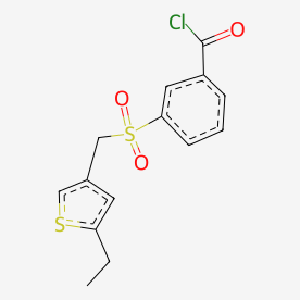 CCc1cc(CS(=O)(=O)c2cccc(C(=O)Cl)c2)cs1